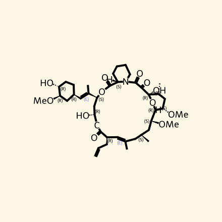 C=CC[C@@H]1/C=C(\C)C[C@H](C)C[C@H](OC)[C@H]2O[C@@](O)(C(=O)C(=O)N3CCCC[C@H]3C(=O)O[C@H](/C(C)=C/[C@@H]3CC[C@@H](O)[C@H](OC)C3)C[C@@H](O)CC1=O)[C@H](C)C[C@@H]2OC